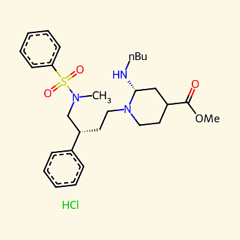 CCCCN[C@@H]1CC(C(=O)OC)CCN1CC[C@@H](CN(C)S(=O)(=O)c1ccccc1)c1ccccc1.Cl